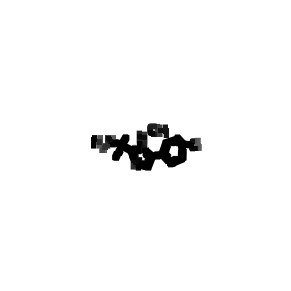 CC(C)(N)c1ncc(-c2ccc(Cl)cc2)[nH]1.Cl